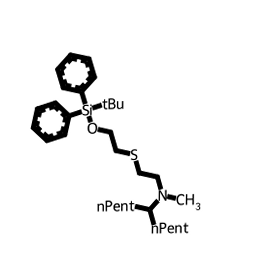 CCCCCC(CCCCC)N(C)CCSCCO[Si](c1ccccc1)(c1ccccc1)C(C)(C)C